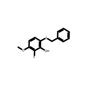 COc1ccc(SCc2ccccc2)c(O)c1F